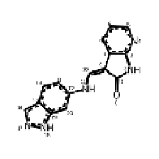 O=C1Nc2ncccc2/C1=C/Nc1ccc2cn[nH]c2c1